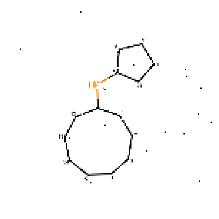 C1CCCCC(PC2CCCC2)CCC1